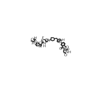 O=C1CCN(N2C(=O)c3ccc(N4CC5CC[C@@H]4CN5CC4CCC(n5cc(NC(=O)c6cnn7ccc(N8C[C@H]9C[C@@H]8CO9)nc67)c(C(F)F)n5)CC4)cc3C2=O)C(=O)N1